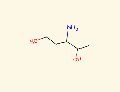 CC(O)C(N)CCO